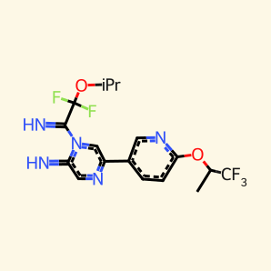 CC(C)OC(F)(F)C(=N)n1cc(-c2ccc(OC(C)C(F)(F)F)nc2)ncc1=N